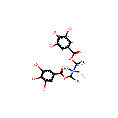 CC(OC(=O)c1cc(O)c(O)c(O)c1)[N+](C)(C)C(C)OC(=O)c1cc(O)c(O)c(O)c1.[Cl-]